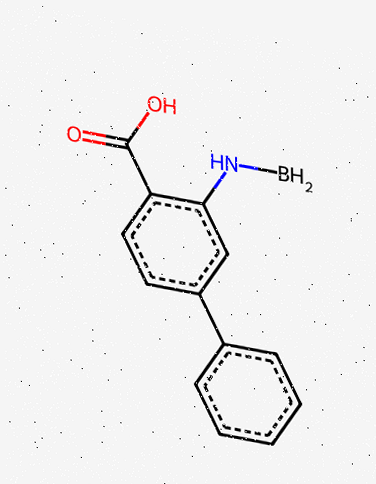 BNc1cc(-c2ccccc2)ccc1C(=O)O